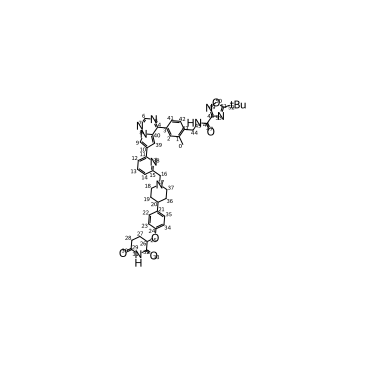 Cc1cc(-c2ncnn3cc(-c4cccc(CN5CCC(c6ccc(OC7CCC(=O)NC7=O)cc6)CC5)n4)cc23)ccc1CNC(=O)c1noc(C(C)(C)C)n1